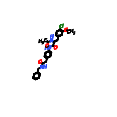 COc1cc(/C=C(\NC(C)=O)C(=O)Nc2ccc(CC(=O)NCc3ccccc3)cc2)ccc1Cl